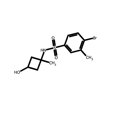 Cc1cc(S(=O)(=O)NC2(C)CC(O)C2)ccc1Br